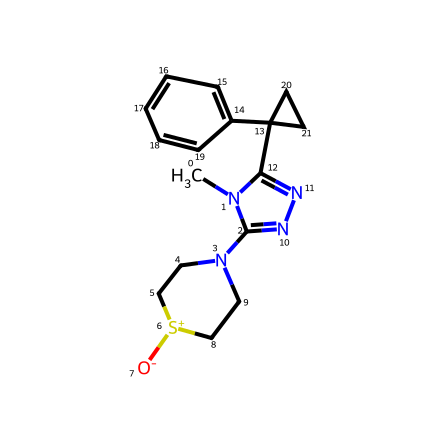 Cn1c(N2CC[S+]([O-])CC2)nnc1C1(c2ccccc2)CC1